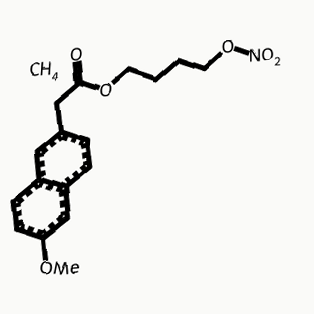 C.COc1ccc2cc(CC(=O)OCCCCO[N+](=O)[O-])ccc2c1